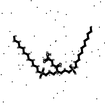 CCCCCCCCCCCC[N+](C)(C)CCCN(CCC[N+](C)(C)CCCCCCCCCCCC)C(=O)CCC(=O)O